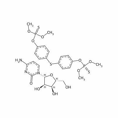 COP(=S)(OC)Oc1ccc(Sc2ccc(OP(=S)(OC)OC)cc2)cc1.Nc1ccn([C@@H]2O[C@H](CO)[C@@H](O)[C@H]2O)c(=O)n1